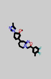 COc1cc(C2=CC3=NOC(c4cc(C)c(F)c(F)c4)CN3CCC2)ccc1-n1cnc(C)c1